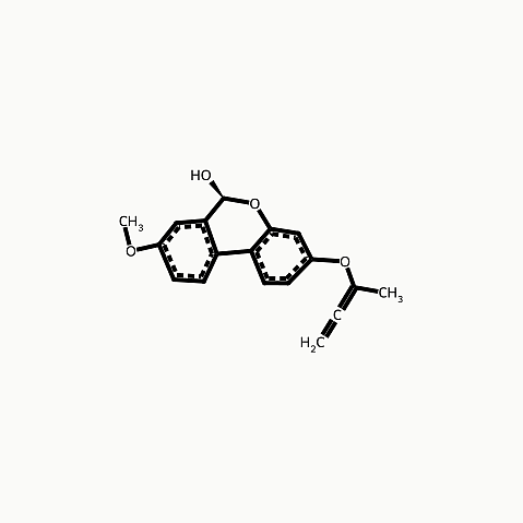 C=C=C(C)Oc1ccc2c(c1)O[C@H](O)c1cc(OC)ccc1-2